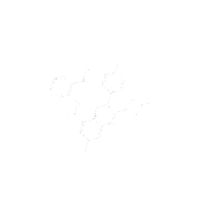 Cc1cc(C(C)Nc2ccccc2C(=O)O)c2cc(-c3ccc(F)cc3)c(N3CC(O)C3)nc2c1